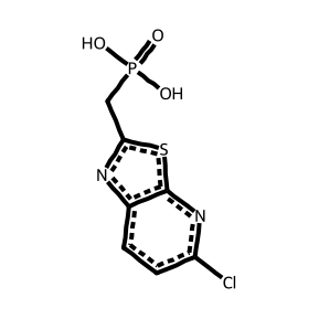 O=P(O)(O)Cc1nc2ccc(Cl)nc2s1